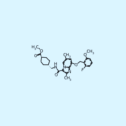 COc1cccc(F)c1COc1cc(C)cn2c(C(=O)NC[C@H]3CC[C@H](C(=O)OC)CC3)c(C)nc12